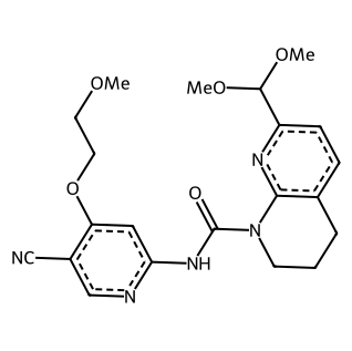 COCCOc1cc(NC(=O)N2CCCc3ccc(C(OC)OC)nc32)ncc1C#N